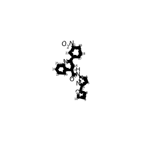 O=C(Nn1ccc(-c2ccco2)n1)c1cc(-c2cccc([N+](=O)[O-])c2)nc2ccccc12